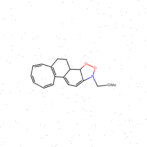 COCN1OOC2C1=CC=C1C3=C(C=CC=CC=C3)CCC12